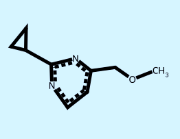 COCc1c[c]nc(C2CC2)n1